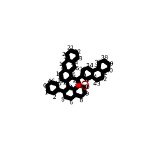 c1ccc(-c2ccc3ccccc3c2-c2ccc3cc4ccccc4cc3c2-c2coc3c2ccc2c4ccccc4ccc23)cc1